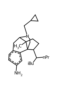 CCCC(C(C)CC)C1CCC2(C)C3Cc4ccc(N)cc4C12CCN3CC1CC1